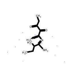 C/C=C(\N=C(\N)C(C)CC)C(=O)C(=O)CC